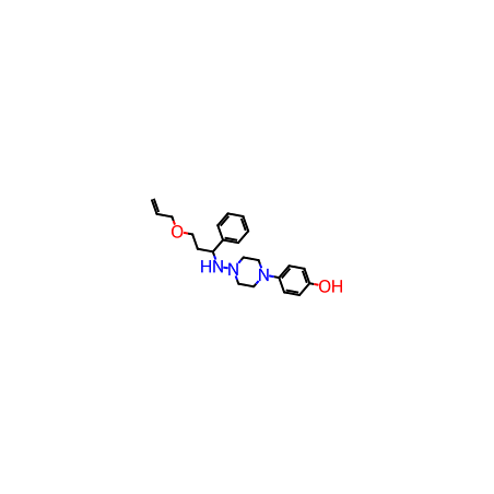 C=CCOCCC(NN1CCN(c2ccc(O)cc2)CC1)c1ccccc1